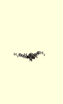 COCCOCCOCCOCc1cn(Cc2cc(C(=O)OC(C)(C)C)cc(Cn3cc(COCCOCCOCCOC)nn3)c2-c2ccncc2)nn1